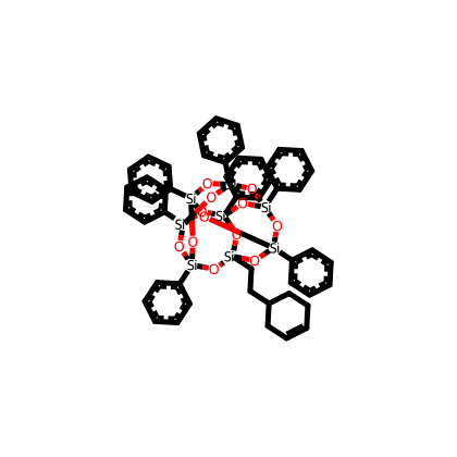 C1=CCC(CC[Si]23O[Si]4(c5ccccc5)O[Si]5(c6ccccc6)O[Si](c6ccccc6)(O2)O[Si]2(c6ccccc6)O[Si](c6ccccc6)(O3)O[Si](c3ccccc3)(O4)O[Si](c3ccccc3)(O5)O2)CC1